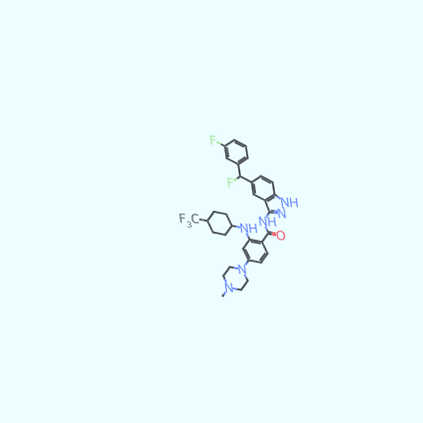 CN1CCN(c2ccc(C(=O)Nc3n[nH]c4ccc(C(F)c5cccc(F)c5)cc34)c(NC3CCC(C(F)(F)F)CC3)c2)CC1